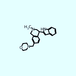 CN1Cc2cc(CN3CCOCC3)ccc2C(c2cc3ccccc3[nH]2)C1